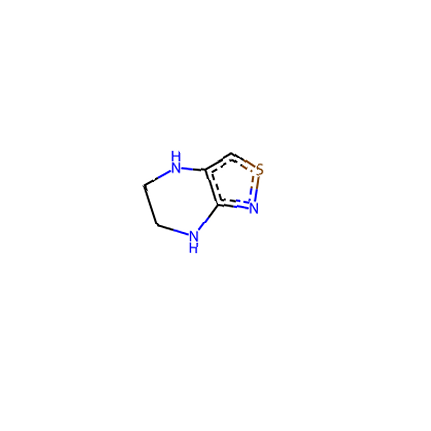 c1snc2c1NCCN2